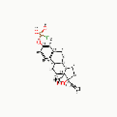 C#CC1(O)CCC2C3CCc4cc(OS(=O)(=O)F)ccc4C3CCC21C